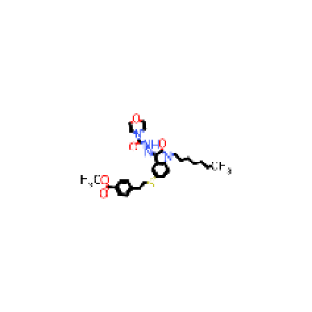 CCCCCCCN1C(=O)/C(=N\NC(=O)N2CCOCC2)c2cc(SCCc3ccc(C(=O)OC)cc3)ccc21